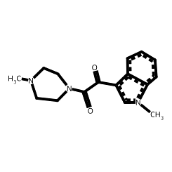 CN1CCN(C(=O)C(=O)c2cn(C)c3ccccc23)CC1